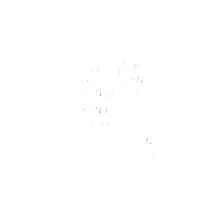 C=CCCCCC[C@H](NC(=O)OC(C)(C)C)C(=O)N1C[C@@]2(CCc3c(c(C(F)(F)F)nc4ccc(OCCCN5CCOCC5)cc34)O2)C[C@H]1C(=O)OC